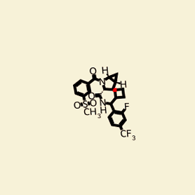 CS(=O)(=O)c1cccc(C(=O)N2[C@@H](C(=O)NC(c3ccc(C(F)(F)F)cc3F)C3CCC3)C[C@H]3C[C@H]32)c1